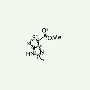 COC(=O)c1scc2[nH]c(C)nc12